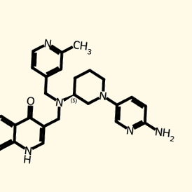 Cc1cc(CN(Cc2c[nH]c3ccccc3c2=O)[C@H]2CCCN(c3ccc(N)nc3)C2)ccn1